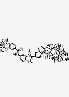 O=C(Nc1ccc(F)c(NC(=O)c2ccc3nc(CN4C(O)(O)C(O)(O)N(C(O)(O)C(O)(O)O)C(O)(O)C4(O)O)ccc3c2)c1)c1ccc2c(c1)OC(O)(O)C(O)(O)O2